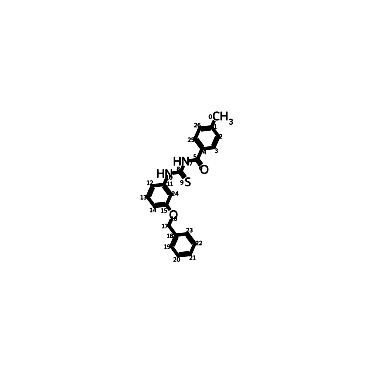 Cc1ccc(C(=O)NC(=S)Nc2cccc(OCc3ccccc3)c2)cc1